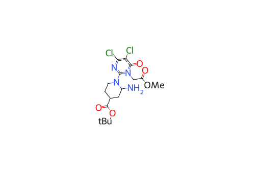 COC(=O)Cn1c(N2CCC(C(=O)OC(C)(C)C)CC2N)nc(Cl)c(Cl)c1=O